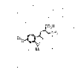 CCOc1ccc(C(C)CC(CN)C(=O)O)c(OCC)c1